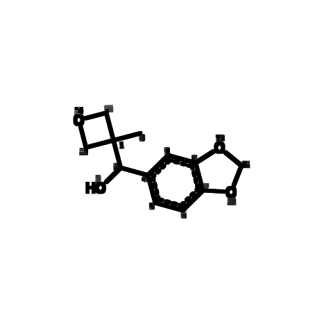 CC1(C(O)c2ccc3c(c2)OCO3)COC1